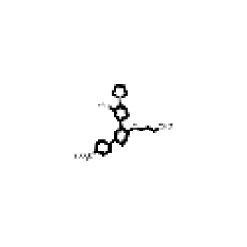 CCOC(=O)c1ccc(-c2ccc(OCCCC=O)c(-c3ccc(N4CCCC4)c(C(C)(C)C)c3)c2)cc1